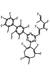 CC(=C\F)/C(F)=C(F)\C(F)=C\c1nc(C2=C(\F)C/C(F)=C(/F)C/C(F)=C\2F)nc(-c2c(F)c(F)c(-c3c(F)c(F)c(F)c(F)c3F)c(CF)c2F)n1